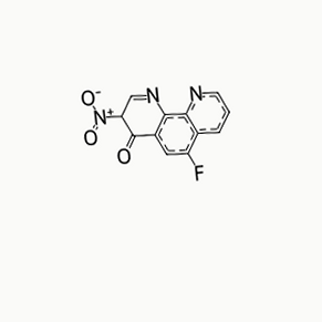 O=C1c2cc(F)c3cccnc3c2N=CC1[N+](=O)[O-]